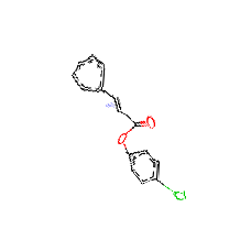 O=C(/C=C/c1ccccc1)Oc1ccc(Cl)cc1